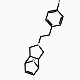 Fc1ccc(CCN2CC3C4C=CC(O4)C3C2)cc1